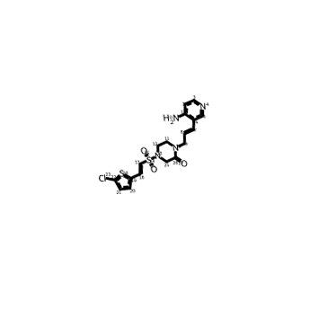 Nc1ccncc1C=CCN1CCN(S(=O)(=O)C=Cc2ccc(Cl)s2)CC1=O